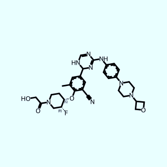 Cc1cc(C2N=C(Nc3ccc(N4CCN(C5COC5)CC4)cc3)N=CN2)cc(C#N)c1O[C@H]1CCN(C(=O)CO)C[C@H]1F